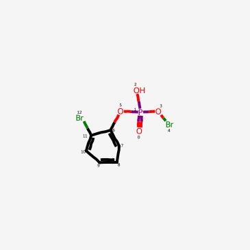 O=P(O)(OBr)Oc1ccccc1Br